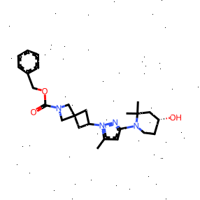 Cc1cc(N2CC[C@@H](O)CC2(C)C)nn1C1CC2(C1)CN(C(=O)OCc1ccccc1)C2